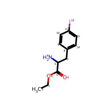 CCOC(=O)C(N)Cc1ccc(I)cc1